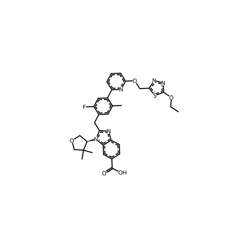 CCOc1nnc(COc2cccc(-c3cc(F)c(Cc4nc5ccc(C(=O)O)cc5n4[C@@H]4COCC4(C)C)cc3C)n2)s1